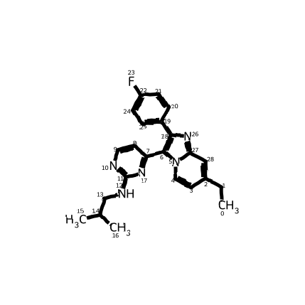 CCc1ccn2c(-c3ccnc(NCC(C)C)n3)c(-c3ccc(F)cc3)nc2c1